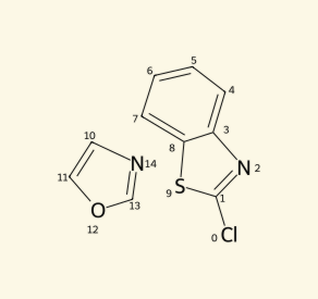 Clc1nc2ccccc2s1.c1cocn1